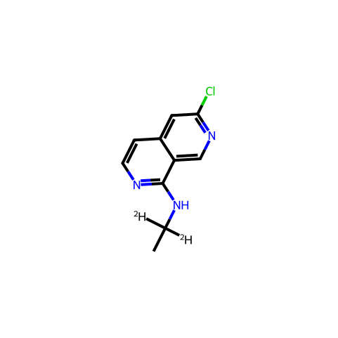 [2H]C([2H])(C)Nc1nccc2cc(Cl)ncc12